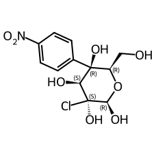 O=[N+]([O-])c1ccc([C@@]2(O)[C@H](O)[C@](O)(Cl)[C@H](O)O[C@@H]2CO)cc1